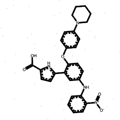 O=C(O)c1ccc(-c2cc(Nc3ccccc3[N+](=O)[O-])ccc2Oc2ccc(N3CCCCC3)cc2)[nH]1